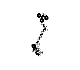 CCC(=C(c1ccccc1)c1ccc(OCCN(C)C(=O)CCOCCOCCOCCNc2cccc3c2C(=O)N(C2CCC(=O)NC2=O)C3=O)cc1)c1ccccc1